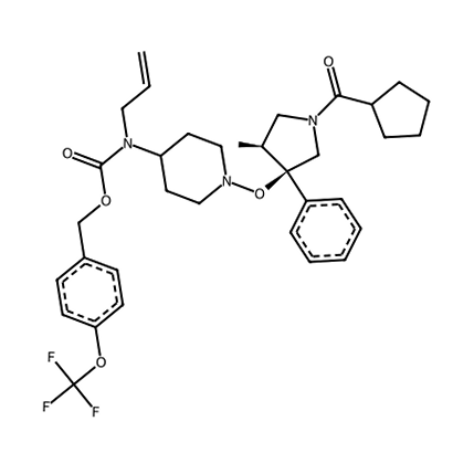 C=CCN(C(=O)OCc1ccc(OC(F)(F)F)cc1)C1CCN(O[C@]2(c3ccccc3)CN(C(=O)C3CCCC3)C[C@@H]2C)CC1